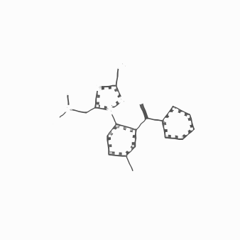 CN(C)Cc1nc(C#N)nn1-c1ccc(Cl)cc1C(=O)c1ccccc1